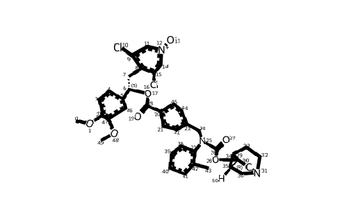 COc1ccc([C@H](Cc2c(Cl)c[n+]([O-])cc2Cl)OC(=O)c2ccc(CN(C(=O)O[C@H]3CN4CCC3CC4)c3ccccc3C)cc2)cc1OC